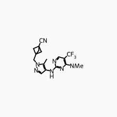 CNc1nc(Nc2cnn(CC34CC(C#N)(C3)C4)c2C)ncc1C(F)(F)F